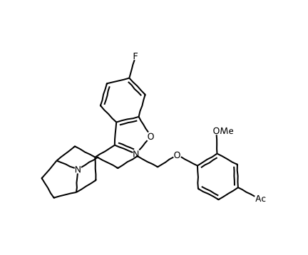 COc1cc(C(C)=O)ccc1OCCCCN1C2CCC1CC(c1noc3cc(F)ccc13)C2